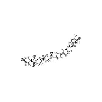 CCc1cc2ncc(CN3CCN(c4ccc(NC(=O)C5CCN(c6ccc7c(c6)C(=O)N(C6CCC(=O)NC6=O)C7=O)CC5)nc4)CC3)cc2[nH]c1=O